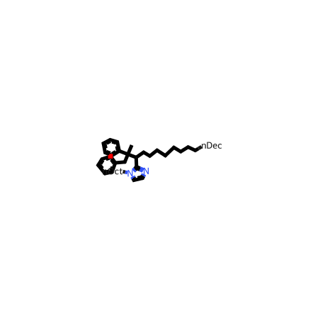 CCCCCCCCCCCCCCCCCCC(c1nccn1CCCCCCCC)C(C)(Cc1ccccc1)c1ccccc1